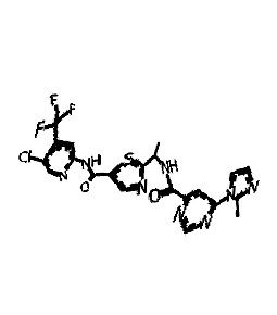 Cc1nccn1-c1cc(C(=O)NC(C)c2ncc(C(=O)Nc3cc(C(F)(F)F)c(Cl)cn3)s2)ncn1